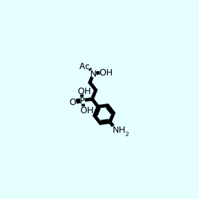 CC(=O)N(O)CCC(c1ccc(N)cc1)P(=O)(O)O